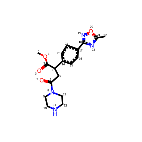 COC(=O)C(CC(=O)N1CCNCC1)c1ccc(-c2noc(C)n2)cc1